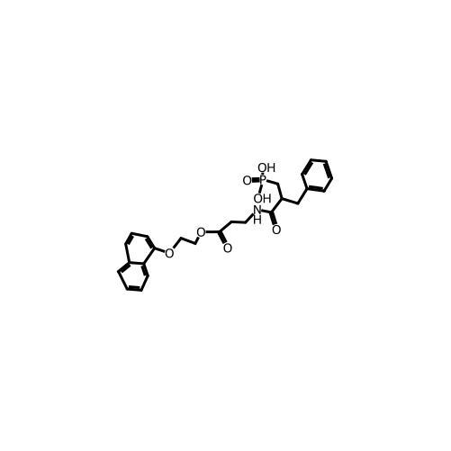 O=C(CCNC(=O)C(Cc1ccccc1)CP(=O)(O)O)OCCOc1cccc2ccccc12